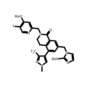 CNc1nccn1Cc1cc2c(c(-c3cn(C)nc3C(F)(F)F)c1)CCN(Cc1cc(OC)c(F)cn1)C2=O